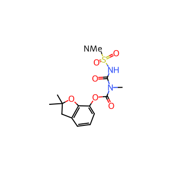 CNS(=O)(=O)NC(=O)N(C)C(=O)Oc1cccc2c1OC(C)(C)C2